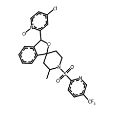 CC1CC2(CCN1S(=O)(=O)c1ccc(C(F)(F)F)cn1)OC(c1cc(Cl)cc[n+]1[O-])c1ccccc12